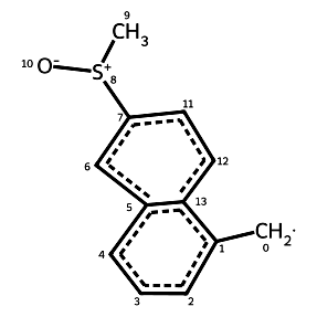 [CH2]c1cccc2cc([S+](C)[O-])ccc12